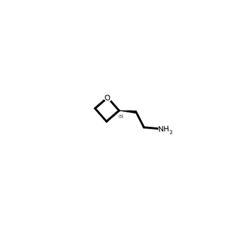 NCC[C@H]1CCO1